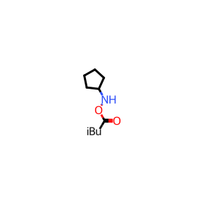 CCC(C)C(=O)ONC1CCCC1